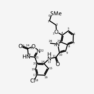 CSCCOc1cccc2cc(C(=O)Nc3ccc(Cl)cc3-c3noc(=O)[nH]3)n(C)c12